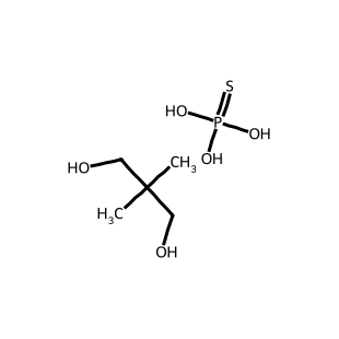 CC(C)(CO)CO.OP(O)(O)=S